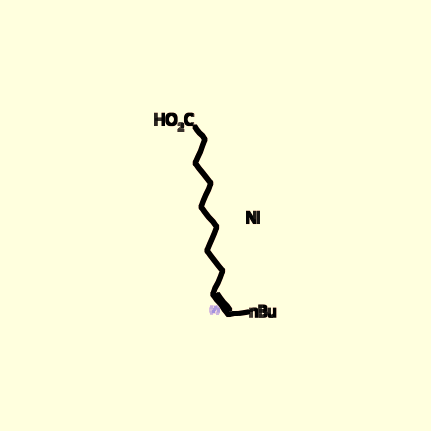 CCCC/C=C\CCCCCCCC(=O)O.[Ni]